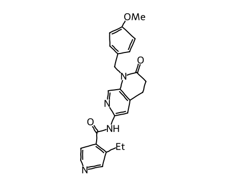 CCc1cnccc1C(=O)Nc1cc2c(cn1)N(Cc1ccc(OC)cc1)C(=O)CC2